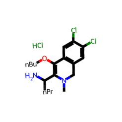 CCCCOC1=C(C(N)CCC)N(C)Cc2cc(Cl)c(Cl)cc21.Cl